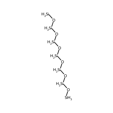 [SiH2]O[SiH2]O[SiH2]O[SiH2]O[SiH2]O[SiH2]O[SiH3]